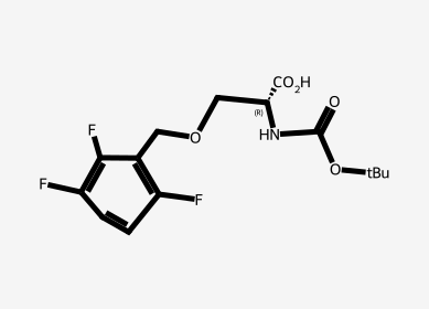 CC(C)(C)OC(=O)N[C@H](COCc1c(F)ccc(F)c1F)C(=O)O